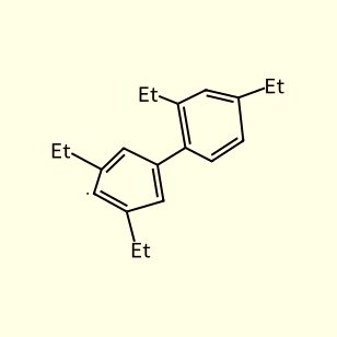 CCc1[c]c(CC)cc(-c2ccc(CC)cc2CC)c1